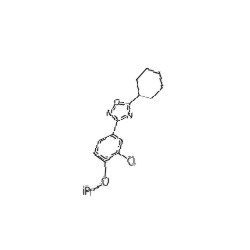 CC(C)Oc1ccc(-c2noc(C3CCCCC3)n2)cc1Cl